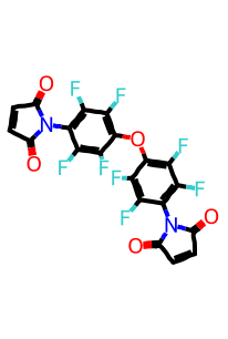 O=C1C=CC(=O)N1c1c(F)c(F)c(Oc2c(F)c(F)c(N3C(=O)C=CC3=O)c(F)c2F)c(F)c1F